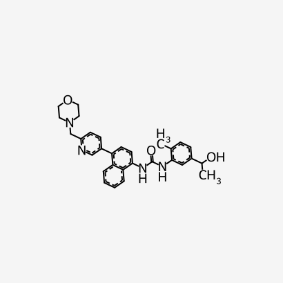 Cc1ccc(C(C)O)cc1NC(=O)Nc1ccc(-c2ccc(CN3CCOCC3)nc2)c2ccccc12